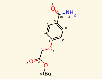 CC(C)(C)OC(=O)COc1ccc(C(N)=O)cc1